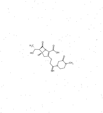 C[C@@H](O)[C@H]1C(=O)N2C(C(=O)O)=C(SCC(=N)N3CCN(C)C(=O)C3)C[C@H]12